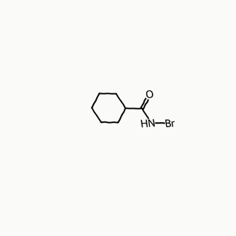 O=C(NBr)C1CCCCC1